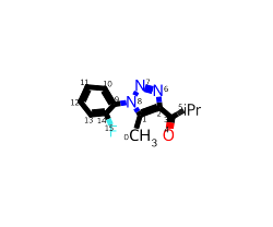 Cc1c(C(=O)C(C)C)nnn1-c1ccccc1F